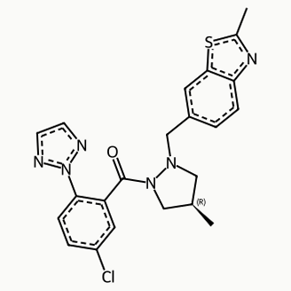 Cc1nc2ccc(CN3C[C@@H](C)CN3C(=O)c3cc(Cl)ccc3-n3nccn3)cc2s1